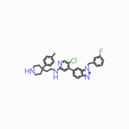 Cc1ccc(C2(CCNc3cc(-c4ccc5ncn(Cc6cccc(F)c6)c5c4)c(Cl)cn3)CCNCC2)cc1